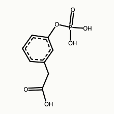 O=C(O)Cc1cccc(OP(=O)(O)O)c1